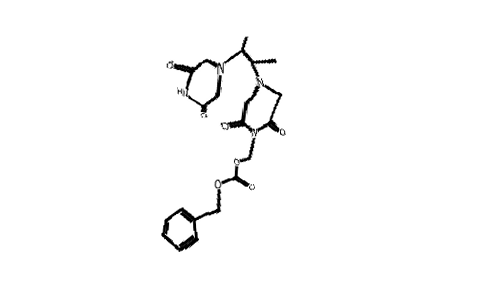 CC(C(C)N1CC(=O)N(COC(=O)OCc2ccccc2)C(=O)C1)N1CC(=O)NC(=O)C1